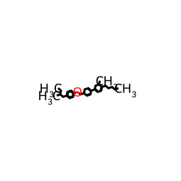 CCCCCC1=CC=C(C2=CCC(COc3ccc(CC(C)CC)cc3)C=C2)CC1C